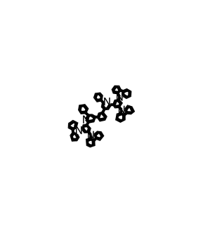 c1ccc(-c2cc(-c3cccc(-c4cc(-c5ccccc5)nc(-c5cc(-n6c7ccccc7c7ccccc76)cc(-n6c7ccccc7c7ccccc76)c5)c4)c3)cc(-c3cc(-n4c5ccccc5c5ccccc54)cc(-n4c5ccccc5c5ccccc54)c3)n2)cc1